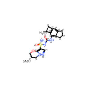 CO[C@@H]1COc2c(S(N)(=O)=NC(=O)Nc3c4c(cc5c3[C@H](C)C5)CCC4)cnn2C1